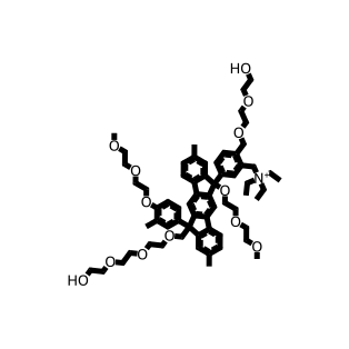 CC[N+](CC)(CC)Cc1cc(C2(OCCOCCOC)c3cc(C)ccc3-c3cc4c(cc32)-c2ccc(C)cc2C4(COCCOCCOCCO)c2ccc(OCCOCCOC)c(C)c2)ccc1COCCOCCO